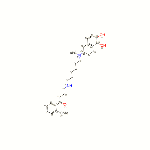 CCCN(CCCCCCNCCCC(=O)c1ccccc1OC)[C@H]1CCc2c(ccc(O)c2O)C1